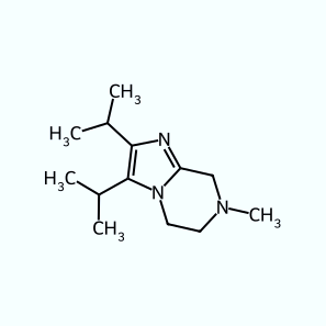 CC(C)c1nc2n(c1C(C)C)CCN(C)C2